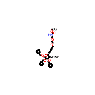 CC(=O)N[C@@H]1[C@@H](OCc2ccccc2)[C@@H](OCc2ccccc2)[C@@H](COCc2ccccc2)O[C@@H]1C#CC#CCOCCOCCNC(=O)OC(C)(C)C